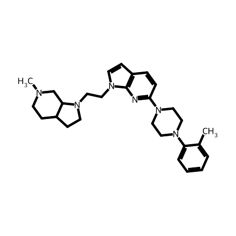 Cc1ccccc1N1CCN(c2ccc3ccn(CCN4CCC5CCN(C)CC54)c3n2)CC1